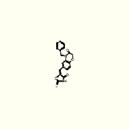 O=C1NC(=S)S/C1=C/c1ccc2c(c1)N(Cc1ccccc1)C(=O)CO2